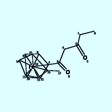 CCC(=O)CC(=O)[C]12[CH]3[CH]4[CH]5[CH]1[Fe]45321678[CH]2[CH]1[CH]6[C]7(C)[CH]28